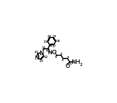 NC(=O)CCCCO/N=C(/Cn1ccnc1)c1ccccc1